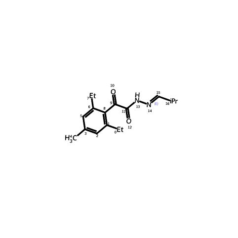 CCc1cc(C)cc(CC)c1C(=O)C(=O)N/N=C/C(C)C